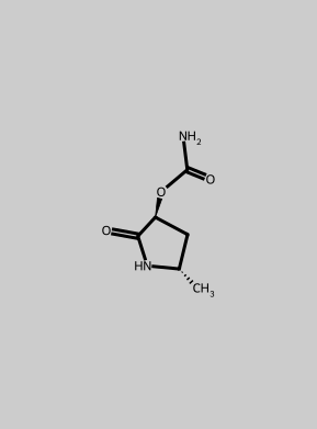 C[C@H]1C[C@H](OC(N)=O)C(=O)N1